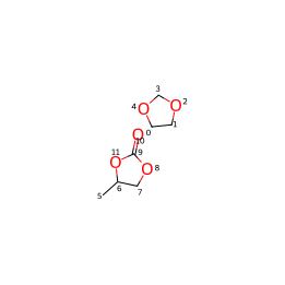 C1COCO1.CC1COC(=O)O1